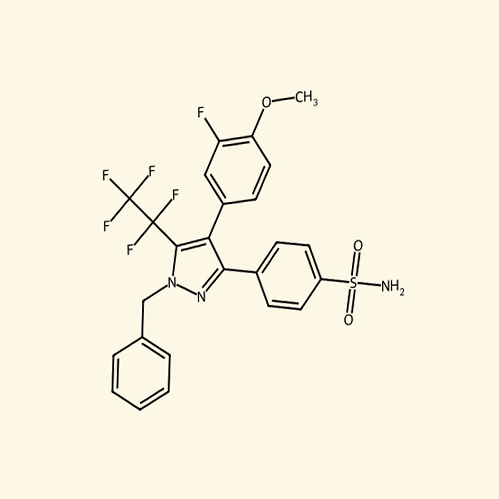 COc1ccc(-c2c(-c3ccc(S(N)(=O)=O)cc3)nn(Cc3ccccc3)c2C(F)(F)C(F)(F)F)cc1F